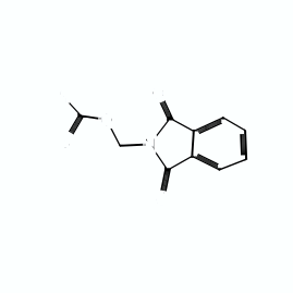 O=C1c2ccccc2C(=O)N1COC(=S)S